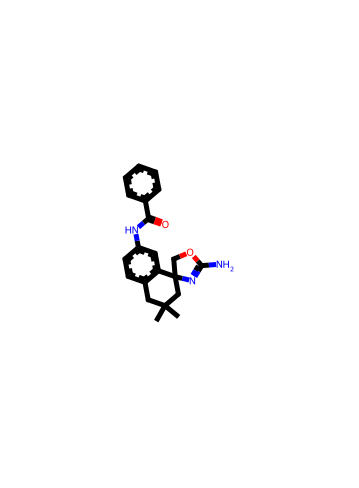 CC1(C)Cc2ccc(NC(=O)c3ccccc3)cc2C2(COC(N)=N2)C1